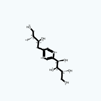 OC[C@@H](O)[C@@H](O)[C@H](O)c1cnc(C[C@H](O)[C@H](F)CO)cn1